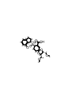 COC[C@H]1OC2(C=C(C(=O)O)[C@H](S(=O)(=O)[C@H]3CCc4cccc(Cl)c43)CC2)O[C@@H]1COC